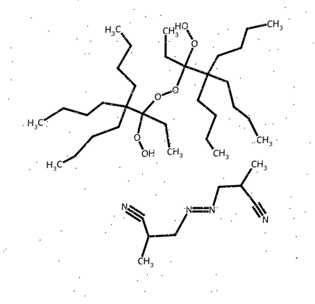 CC(C#N)CN=NCC(C)C#N.CCCCC(CCCC)(CCCC)C(CC)(OO)OOC(CC)(OO)C(CCCC)(CCCC)CCCC